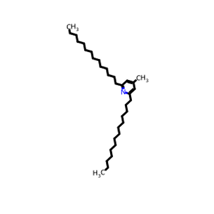 CCCCCCCCCCCCCCc1cc(C)cc(CCCCCCCCCCCCCC)n1